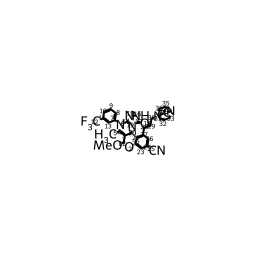 COC(=O)C1=C(C)N(c2cccc(C(F)(F)F)c2)c2n[nH]c(=O)n2[C@@H]1c1ccc(C#N)cc1CCC[N+]12CCN(CC1)CC2